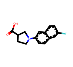 O=C(O)C1CCN(c2ccc3cc(F)ccc3c2)C1